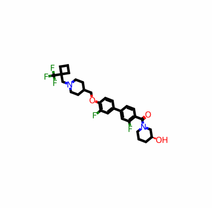 O=C(c1ccc(-c2ccc(OCC3CCN(CC4(C(F)(F)F)CCC4)CC3)c(F)c2)cc1F)N1CCC[C@H](O)C1